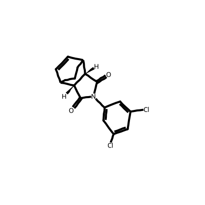 O=C1[C@@H]2C3C=CC(CCC3)[C@@H]2C(=O)N1c1cc(Cl)cc(Cl)c1